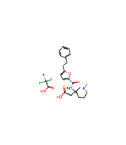 CN1CCCC(CC(=O)O)(NC(=O)c2ccc(CCc3ccccc3)o2)C1.O=C(O)C(F)(F)F